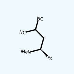 [C-]#[N+]C(C#N)C[C@@H](CC)NC